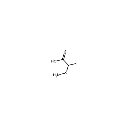 CC(SN)C(O)=S